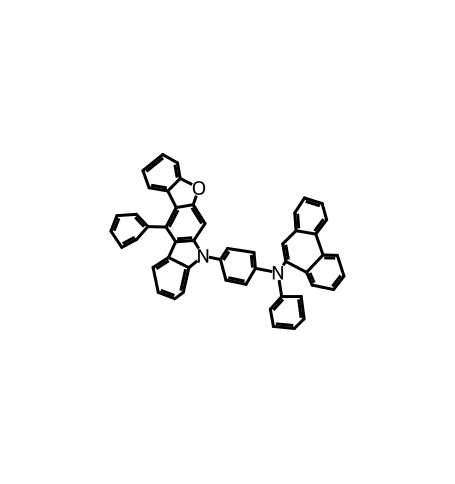 c1ccc(-c2c3c(cc4c2c2ccccc2n4-c2ccc(N(c4ccccc4)c4cc5ccccc5c5ccccc45)cc2)oc2ccccc23)cc1